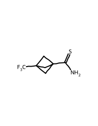 NC(=S)C12CC(C(F)(F)F)(C1)C2